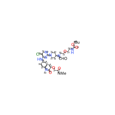 CNC(=O)COc1cc2cc(Nc3nc(N4CCC(N(C=O)CCOCCNC(=O)OC(C)(C)C)CC4)ncc3Cl)ccc2n(C)c1=O